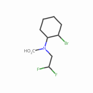 O=C(O)N(CC(F)F)C1CCCCC1Br